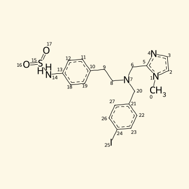 Cn1ccnc1CN(CCc1ccc(N[SH](=O)=O)cc1)Cc1ccc(I)cc1